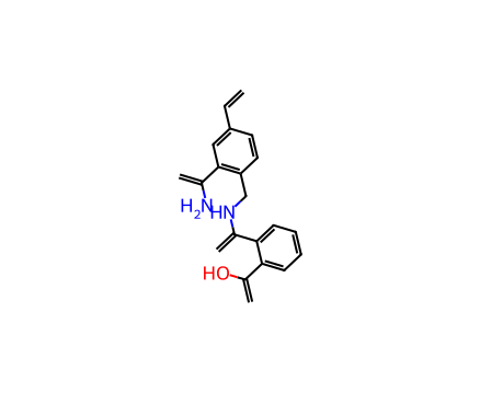 C=Cc1ccc(CNC(=C)c2ccccc2C(=C)O)c(C(=C)N)c1